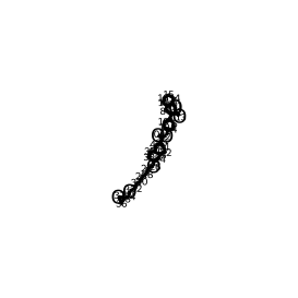 O=C(Oc1ccc(-c2cc3c(oc2=O)CCC=C3)cc1)c1ccc2cc(OCCCCCCOCC3CO3)ccc2c1